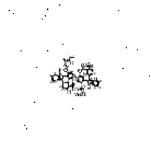 C=CC(=O)N(C)CCOc1cnccc1-c1[nH]c2cccnc2c1-c1ccc(Cl)c(C(=O)OC)c1.CNCCOc1cnccc1-c1[nH]c2cccnc2c1-c1ccc(Cl)c(C(=O)OC)c1